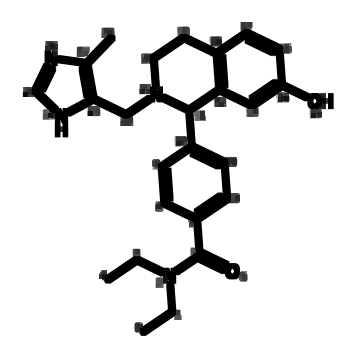 CCN(CC)C(=O)c1ccc(C2c3cc(O)ccc3CCN2Cc2[nH]cnc2C)cc1